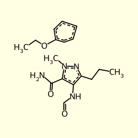 CCCc1nn(C)c(C(N)=O)c1NC=O.CCOc1ccccc1